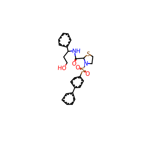 O=C(NC(CCO)c1ccccc1)C1SCCN1S(=O)(=O)c1ccc(-c2ccccc2)cc1